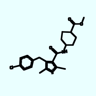 COC(=O)C1CCC(NC(=O)c2c(C)sc(C)c2Cc2ccc(Cl)cc2)CC1